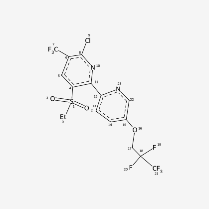 CCS(=O)(=O)c1cc(C(F)(F)F)c(Cl)nc1-c1ccc(OCC(F)(F)C(F)(F)F)cn1